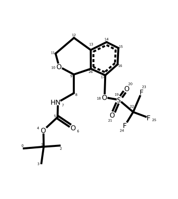 CC(C)(C)OC(=O)NCC1OCCc2cccc(OS(=O)(=O)C(F)(F)F)c21